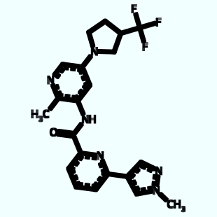 Cc1ncc(N2CCC(C(F)(F)F)C2)cc1NC(=O)c1cccc(-c2cnn(C)c2)n1